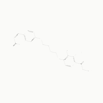 CC(C)CC(=O)c1ccc(OCCCCOc2ccc3ccc(=O)oc3c2)c(Br)c1O